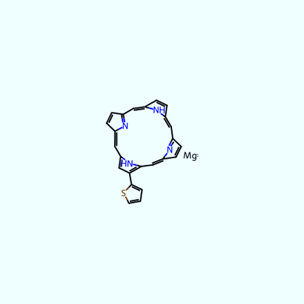 C1=Cc2cc3cc(-c4cccs4)c(cc4nc(cc5ccc(cc1n2)[nH]5)C=C4)[nH]3.[Mg]